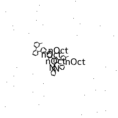 CCCCCCCCc1cc(-c2cc(-c3cc(CCCCCCCC)c(-c4cccc(-c5ccccc5-c5cccc(C)c5)c4)cc3CCCCCCCC)cc(-c3nc4ccccc4n3-c3ccccc3)c2)c(CCCCCCCC)cc1C